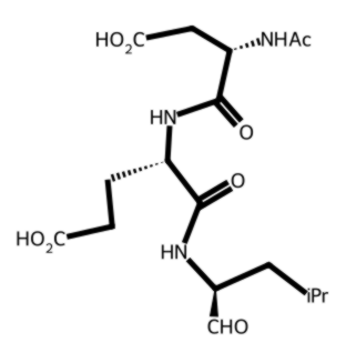 CC(=O)N[C@@H](CC(=O)O)C(=O)N[C@@H](CCC(=O)O)C(=O)N[C@H](C=O)CC(C)C